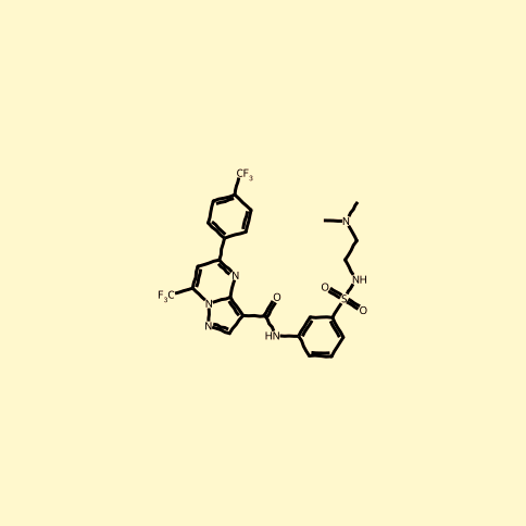 CN(C)CCNS(=O)(=O)c1cccc(NC(=O)c2cnn3c(C(F)(F)F)cc(-c4ccc(C(F)(F)F)cc4)nc23)c1